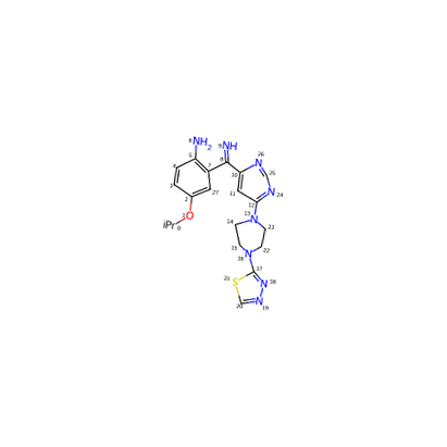 CC(C)Oc1ccc(N)c(C(=N)c2cc(N3CCN(c4nncs4)CC3)ncn2)c1